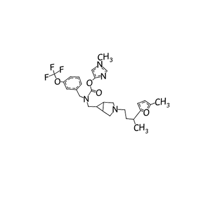 Cc1ccc(C(C)CCN2CC3C(C2)C3CN(Cc2cccc(OC(F)(F)F)c2)C(=O)Oc2cn(C)cn2)o1